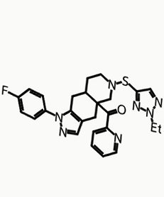 CCn1ncc(SN2CCC3Cc4c(cnn4-c4ccc(F)cc4)CC3(C(=O)c3ccccn3)C2)n1